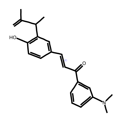 C=C(C)C(C)c1cc(/C=C/C(=O)c2cccc(N(C)C)c2)ccc1O